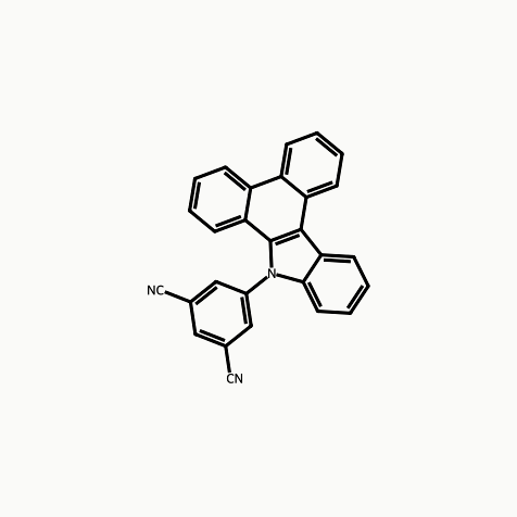 N#Cc1cc(C#N)cc(-n2c3ccccc3c3c4ccccc4c4ccccc4c32)c1